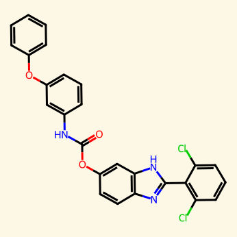 O=C(Nc1cccc(Oc2ccccc2)c1)Oc1ccc2nc(-c3c(Cl)cccc3Cl)[nH]c2c1